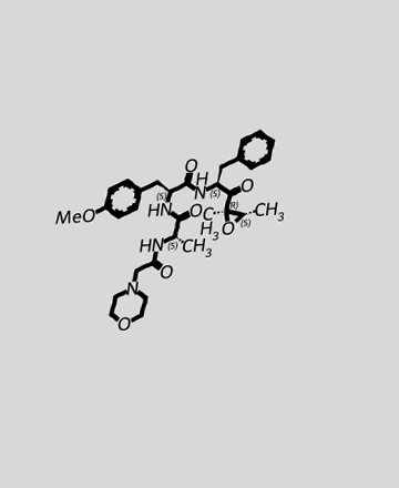 COc1ccc(C[C@H](NC(=O)[C@H](C)NC(=O)CN2CCOCC2)C(=O)N[C@@H](Cc2ccccc2)C(=O)[C@]2(C)O[C@H]2C)cc1